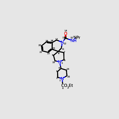 CCOC(=O)N1CCC(N2CCC3(CC2)CN(C(=O)NC(C)C)Cc2ccccc23)CC1